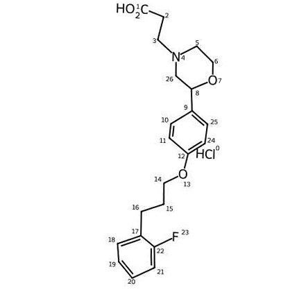 Cl.O=C(O)CCN1CCOC(c2ccc(OCCCc3ccccc3F)cc2)C1